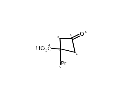 CC(C)C1(C(=O)O)CC(=O)C1